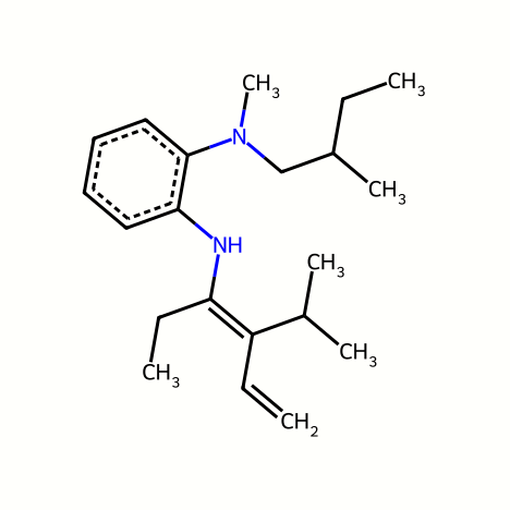 C=C/C(=C(\CC)Nc1ccccc1N(C)CC(C)CC)C(C)C